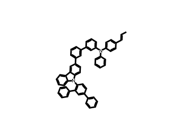 C/C=C/c1ccc(N(c2ccccc2)c2cccc(-c3cccc(-c4ccc5c(c4)c4ccccc4n5-c4ccc(-c5ccccc5)cc4-c4ccccc4)c3)c2)cc1